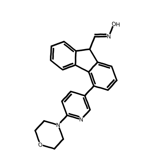 ON=CC1c2ccccc2-c2c(-c3ccc(N4CCOCC4)nc3)cccc21